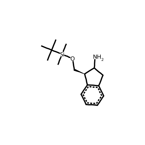 CC(C)(C)[Si](C)(C)OC[C@@H]1c2ccccc2CC1N